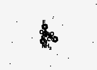 C[C@H](C(=O)NC[C@H](C(=O)NCc1ccc(N)nc1)c1ccc(F)cc1)N1CCCCC1